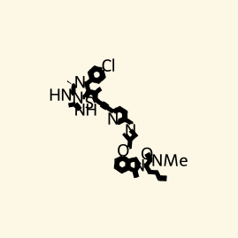 C=CCCC(C(=O)NC)N1Cc2c(OCC3CN(Cc4ccc(C#Cc5sc6c(c5C)C(c5ccc(Cl)cc5)=N[C@@H](C)C(=N)N6C(C)=N)nc4)C3)cccc2C1=C